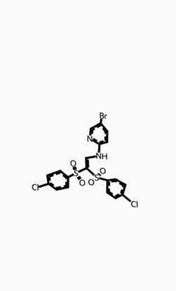 O=S(=O)(C(=CNc1ccc(Br)cn1)S(=O)(=O)c1ccc(Cl)cc1)c1ccc(Cl)cc1